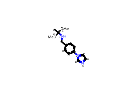 COC(C)(NCc1ccc(-n2ccnc2)cc1)OC